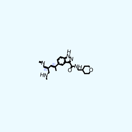 C=N/C=C(\C=C(/C)c1ccc2[nH]nc(C(=O)NCC3CCOCC3)c2c1)CNC